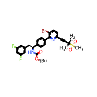 CC(C)(C)OC(=O)N[C@@H](Cc1cc(F)cc(F)c1)c1ccc(-c2nc(C#CC(C)(C)S(C)(=O)=O)ccc2Br)cc1